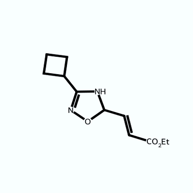 CCOC(=O)/C=C/C1NC(C2CCC2)=NO1